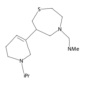 CNCN1CCSCC(C2=CCCN(C(C)C)C2)C1